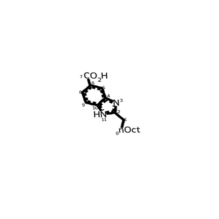 CCCCCCCCCc1nc2cc(C(=O)O)ccc2[nH]1